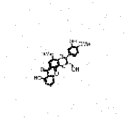 COc1ccc([C@@H]2Oc3c(OC)cc4c(=O)c5c(O)cccc5oc4c3O[C@H]2CO)cc1O